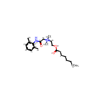 CCCCCCCCCCCCCCCC(=O)OCC[N+](CC)(CC)CC(=O)Nc1c(C)cccc1C